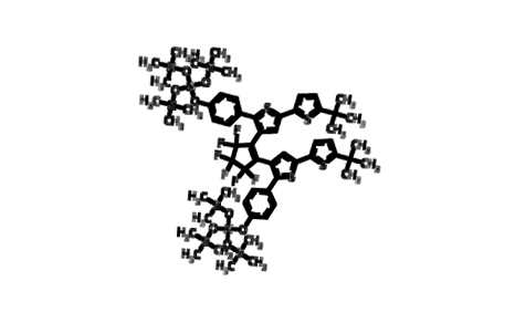 CC(C)(C)c1ccc(-c2cc(C3=C(c4cc(-c5ccc(C(C)(C)C)s5)sc4-c4ccc(O[Si](O[Si](C)(C)C)(O[Si](C)(C)C)O[Si](C)(C)C)cc4)C(F)(F)C(F)(F)C3(F)F)c(-c3ccc(O[Si](O[Si](C)(C)C)(O[Si](C)(C)C)O[Si](C)(C)C)cc3)s2)s1